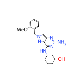 COc1ccccc1Cn1cc2nc(N)nc(NC3CCCC(O)C3)c2n1